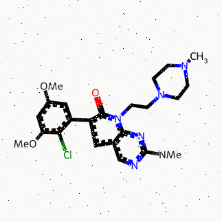 CNc1ncc2cc(-c3cc(OC)cc(OC)c3Cl)c(=O)n(CCN3CCN(C)CC3)c2n1